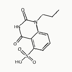 CCCn1c(=O)[nH]c(=O)c2c(S(=O)(=O)O)cccc21